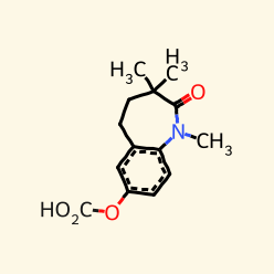 CN1C(=O)C(C)(C)CCc2cc(OC(=O)O)ccc21